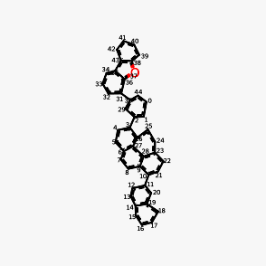 c1cc(-c2ccc3ccc4c(-c5ccc6ccccc6c5)ccc5ccc2c3c54)cc(-c2cccc3c2oc2ccccc23)c1